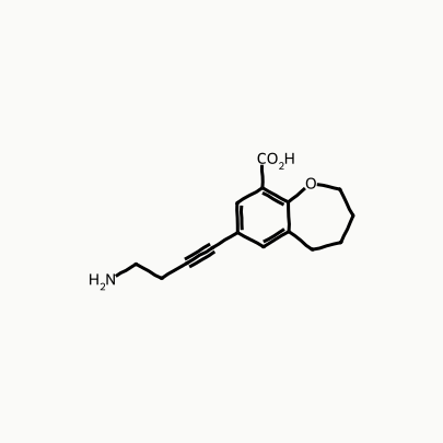 NCCC#Cc1cc2c(c(C(=O)O)c1)OCCCC2